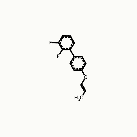 C/C=C/Oc1ccc(-c2cccc(F)c2F)cc1